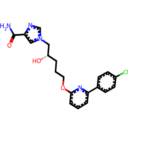 NC(=O)c1cn(C[C@@H](O)CCCOc2cccc(-c3ccc(Cl)cc3)n2)cn1